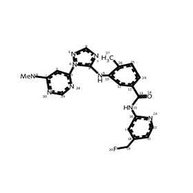 CNc1cc(-n2ncnc2Nc2cc(C(=O)Nc3cc(CF)ccn3)ccc2C)ncn1